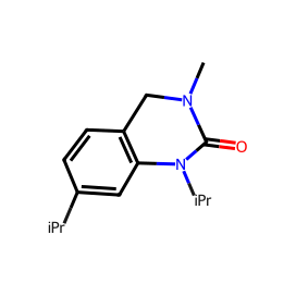 CC(C)c1ccc2c(c1)N(C(C)C)C(=O)N(C)C2